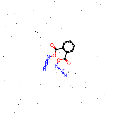 [N-]=[N+]=NOC(=O)c1ccccc1C(=O)ON=[N+]=[N-]